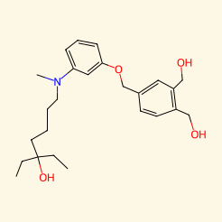 CCC(O)(CC)CCCCN(C)c1cccc(OCc2ccc(CO)c(CO)c2)c1